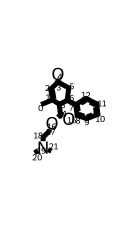 CC1=CC(=O)CC(c2ccccc2)C1C(=O)OCCN(C)C